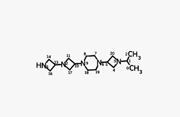 CC(C)N1CC(N2CCN(C3CN(C4CNC4)C3)CC2)C1